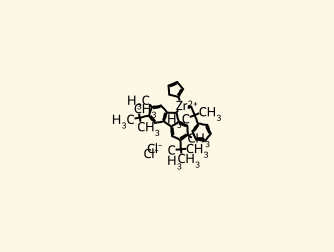 Cc1cc2c(cc1C(C)(C)C)-c1cc(C(C)(C)C)c(C)cc1[CH]2/[Zr+2](=[CH]\C(C)(C)c1ccccc1)[C]1=CC=CC1.[Cl-].[Cl-]